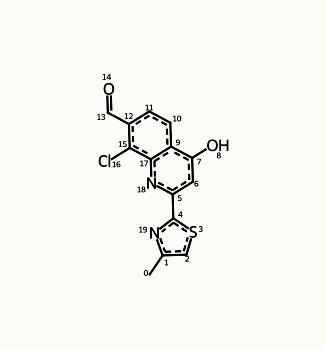 Cc1csc(-c2cc(O)c3ccc(C=O)c(Cl)c3n2)n1